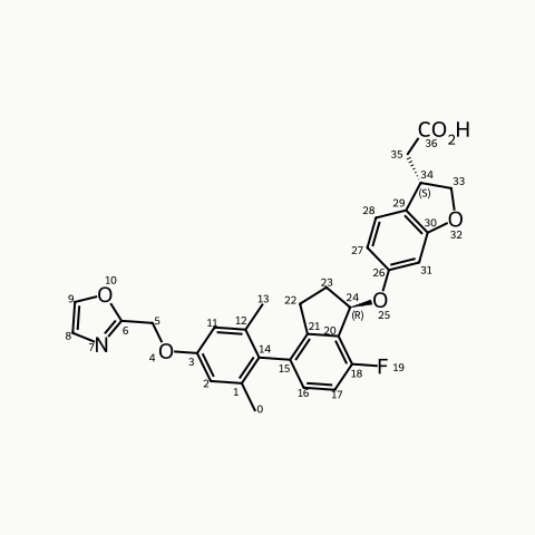 Cc1cc(OCc2ncco2)cc(C)c1-c1ccc(F)c2c1CC[C@H]2Oc1ccc2c(c1)OC[C@H]2CC(=O)O